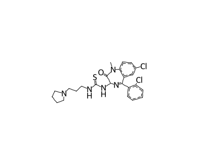 CN1C(=O)C(NC(=S)NCCCN2CCCC2)N=C(c2ccccc2Cl)c2cc(Cl)ccc21